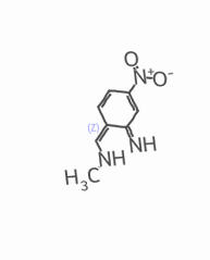 CN/C=C1/C=CC([N+](=O)[O-])=CC1=N